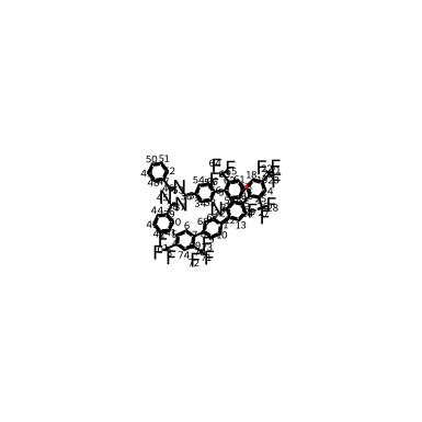 FC(F)(F)c1ccc(-c2ccc3c4ccc(-c5ccc(C(F)(F)F)cc5C(F)(F)F)cc4n(-c4cc(-c5nc(-c6ccccc6)nc(-c6ccccc6)n5)ccc4-c4ccccc4C(F)(F)F)c3c2)c(C(F)(F)F)c1